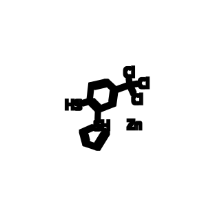 Sc1ccc(C(Cl)(Cl)Cl)cc1[SH]1C=CC=C1.[Zn]